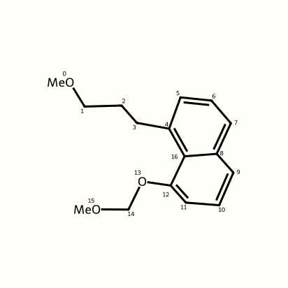 COCCCc1cccc2cccc(OCOC)c12